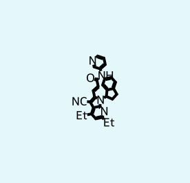 CCc1cc(CC)c2c(C#N)c(C=CC(=O)Nc3cccnc3)n(C3CCc4ccccc43)c2n1